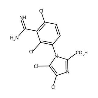 N=C(N)c1c(Cl)ccc(-n2c(C(=O)O)nc(Cl)c2Cl)c1Cl